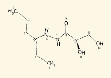 CCCC(CC)NNC(=O)[C@H](O)CO